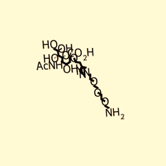 CC(=O)N[C@H]1[C@H]([C@H](O)[C@H](O)CO)O[C@@](OCCc2cn(CCOCCOCCOCCN)nn2)(C(=O)O)C[C@@H]1O